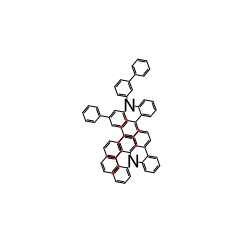 c1ccc(-c2cccc(N(c3cccc(-c4ccccc4)c3)c3ccccc3-c3ccc(-c4cccc(-c5ccccc5N(c5ccccc5-c5ccccc5)c5ccccc5-c5ccccc5)c4)cc3)c2)cc1